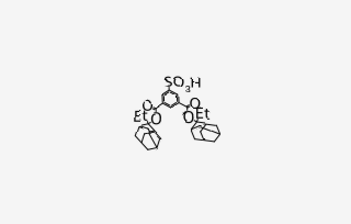 CCC1(OC(=O)c2cc(C(=O)OC3(CC)C4CC5CC(C4)CC3C5)cc(S(=O)(=O)O)c2)C2CC3CC(C2)CC1C3